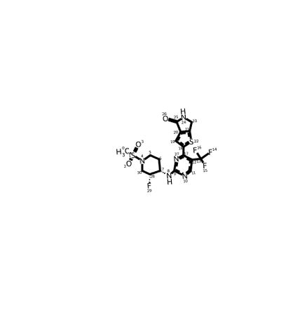 CS(=O)(=O)N1CC[C@H](Nc2ncc(C(F)(F)F)c(-c3cc4c(s3)CNC4=O)n2)[C@H](F)C1